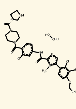 Cn1c(-c2ccc(OCC#N)c(F)c2Cl)cnc1C(=O)Nc1ccc(C(=O)N2CCN(C(=O)[C@@H]3CCNC3)CC2)c(Cl)c1.O=CO